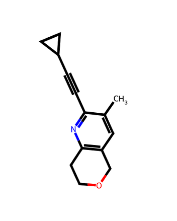 Cc1cc2c(nc1C#CC1CC1)CCOC2